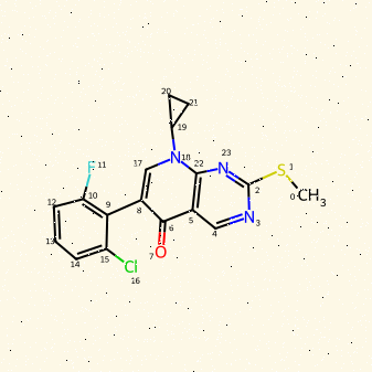 CSc1ncc2c(=O)c(-c3c(F)cccc3Cl)cn(C3CC3)c2n1